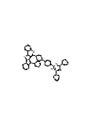 c1ccc(C2=NC(c3ccc(-c4ccc(-c5nc6ccccc6c6sc7c8ccccc8n(-c8ccccc8)c7c56)cc4)cc3)NC(c3ccccc3)=N2)cc1